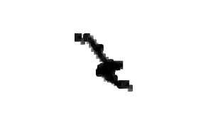 CC#CCOc1ccc(C[C@H](NC(=O)[C@@H](C=CCCCCCCC(=O)CCCCCCC)[C@@](O)(CC#N)C(=O)O)C(=O)O)cc1